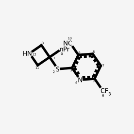 CCCC1(Sc2nc(C(F)(F)F)ccc2C#N)CNC1